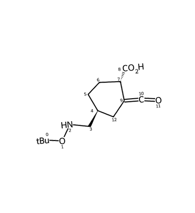 CC(C)(C)ONC[C@H]1CC[C@H](C(=O)O)C(=C=O)C1